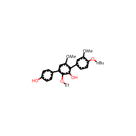 CCCCOc1ccc(-c2c(OC)cc(-c3ccc(O)cc3)c(OCC)c2O)cc1OC